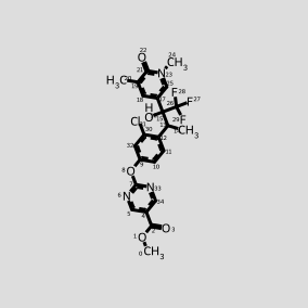 COC(=O)c1cnc(Oc2ccc(C(C)C(O)(c3cc(C)c(=O)n(C)c3)C(F)(F)F)c(Cl)c2)nc1